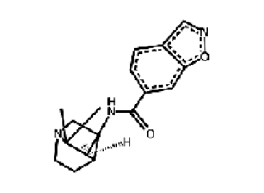 CC1(C)[C@@H](NC(=O)c2ccc3cnoc3c2)C2CCN1CC2